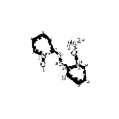 [Mg+2].[O-][n+]1ccccc1SSc1cccc[n+]1[O-]